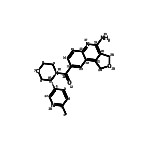 Cc1ccc([C@@H]2COCCN2C(=O)c2ccc3nc(N)c4c(c3c2)COC4)cn1